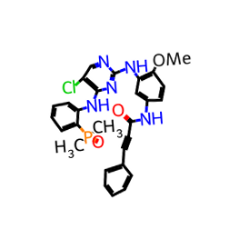 COc1ccc(NC(=O)C#Cc2ccccc2)cc1Nc1ncc(Cl)c(Nc2ccccc2P(C)(C)=O)n1